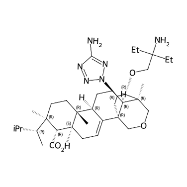 CCC(N)(CC)CO[C@H]1[C@H](n2nnc(N)n2)C[C@@]23COC[C@@]1(C)[C@@H]2CC[C@H]1C3=CC[C@@]2(C)[C@H](C(=O)O)[C@@](C)([C@H](C)C(C)C)CC[C@]12C